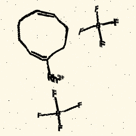 F[B-](F)(F)F.F[B-](F)(F)F.[Rh+2][C]1=CCCC=CCC1